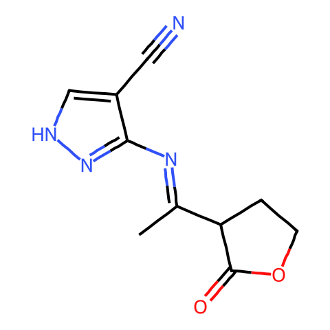 C/C(=N\c1n[nH]cc1C#N)C1CCOC1=O